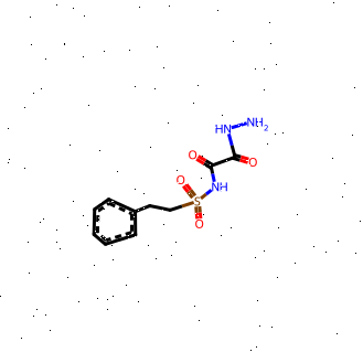 NNC(=O)C(=O)NS(=O)(=O)CCc1ccccc1